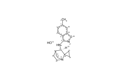 Cc1ccc2c(N[C@@H]3C4CCN(CC4)C34CC4)noc2c1.Cl